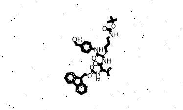 CC(C)C(NC(=O)OCC1c2ccccc2-c2ccccc21)C(=O)N[C@@H](CCCCNC(=O)OC(C)(C)C)C(=O)Nc1ccc(CO)cc1